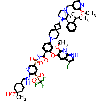 COc1cc(CN2CCN(C3CC4(CCN(c5ccc(C(=O)NS(=O)(=O)c6cnc(NCC7CCC(C)(O)CC7)c(S(=O)(=O)C(F)(F)F)c6)c(Oc6cc7c(F)c[nH]c7nc6OC)c5)CC4)C3)[C@H](c3ccccc3C(C)C)C2)ccn1